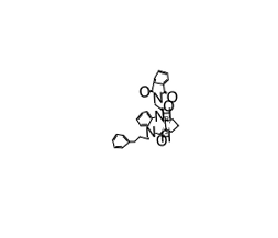 O=C1c2ccccc2C(=O)N1CC(=O)N1c2ccccc2N(CCCc2ccccc2)C(=O)[C@H]2CCC[C@H]21